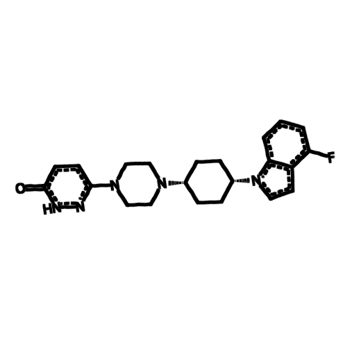 O=c1ccc(N2CCN([C@H]3CC[C@@H](n4ccc5c(F)cccc54)CC3)CC2)n[nH]1